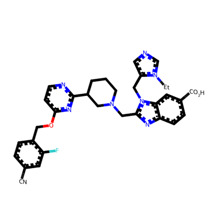 CCn1cncc1Cn1c(CN2CCCC(c3nccc(OCc4ccc(C#N)cc4F)n3)C2)nc2ccc(C(=O)O)cc21